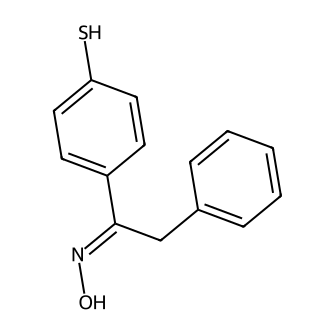 O/N=C(\Cc1ccccc1)c1ccc(S)cc1